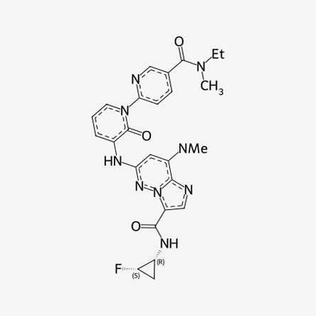 CCN(C)C(=O)c1ccc(-n2cccc(Nc3cc(NC)c4ncc(C(=O)N[C@@H]5C[C@@H]5F)n4n3)c2=O)nc1